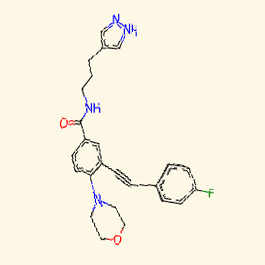 O=C(NCCCc1cn[nH]c1)c1ccc(N2CCOCC2)c(C#Cc2ccc(F)cc2)c1